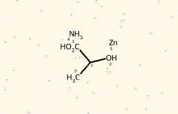 CC(O)C(=O)O.N.[Zn]